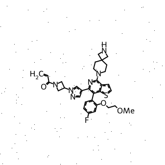 C=CC(=O)N1CC(n2cc(-c3nc(N4CCC5(CC4)CNC5)c4ccsc4c3-c3ccc(F)cc3OCCOC)cn2)C1